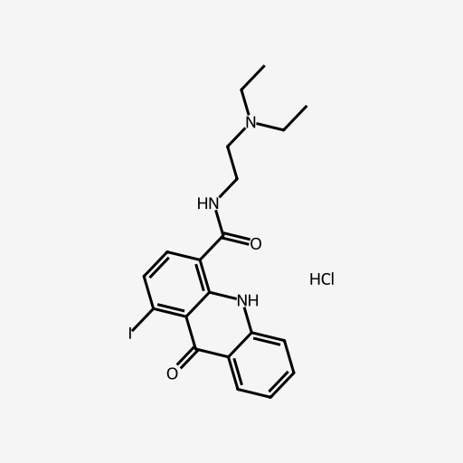 CCN(CC)CCNC(=O)c1ccc(I)c2c(=O)c3ccccc3[nH]c12.Cl